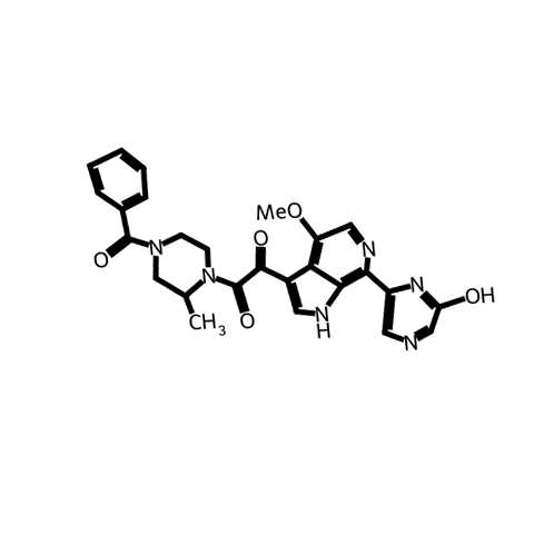 COc1cnc(-c2cncc(O)n2)c2[nH]cc(C(=O)C(=O)N3CCN(C(=O)c4ccccc4)CC3C)c12